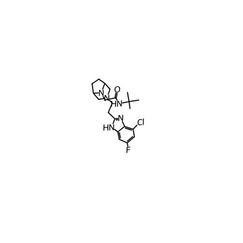 CC(C)(C)NC(=O)CN1C2CCC1CN(CCc1nc3c(Cl)cc(F)cc3[nH]1)C2